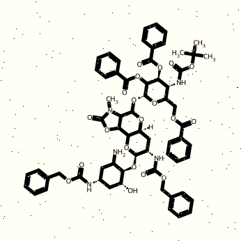 CN1C(=O)OC2C3O[C@H](O[C@@H]4C(N)C[C@@H](NC(=O)OCc5ccccc5)C[C@H]4O)[C@@H](NC(=O)OCc4ccccc4)C[C@@H]3OC(O[C@H]3OC(COC(=O)c4ccccc4)[C@@H](NC(=O)OC(C)(C)C)[C@H](OC(=O)c4ccccc4)C3OC(=O)c3ccccc3)C21